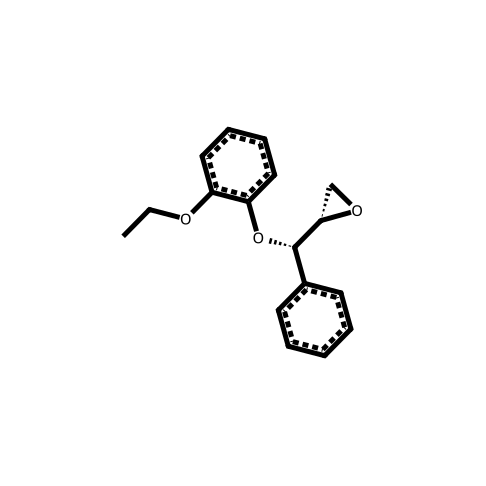 CCOc1ccccc1O[C@@H](c1ccccc1)[C@@H]1CO1